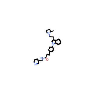 CC1CCCN1CCc1cn(-c2ccc(C=CC(=O)NCc3cccnc3)cc2)c2ccccc12